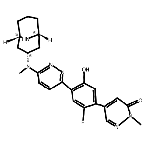 CN(c1ccc(-c2cc(F)c(-c3cnn(C)c(=O)c3)cc2O)nn1)[C@H]1C[C@H]2CCC[C@@H](C1)N2